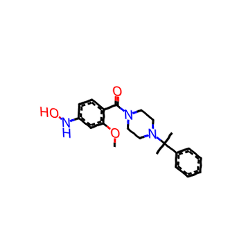 COc1cc(NO)ccc1C(=O)N1CCN(C(C)(C)c2ccccc2)CC1